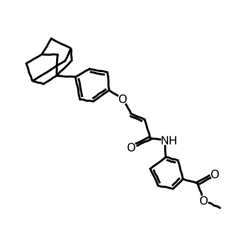 COC(=O)c1cccc(NC(=O)/C=C/Oc2ccc(C34CC5CC(CC(C5)C3)C4)cc2)c1